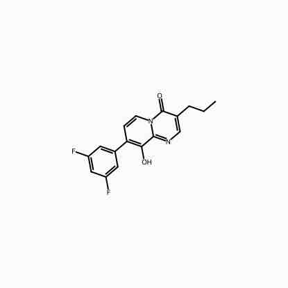 CCCc1cnc2c(O)c(-c3cc(F)cc(F)c3)ccn2c1=O